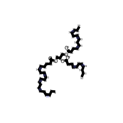 CC/C=C\C/C=C\C/C=C\C/C=C\C/C=C\CCCC(=O)OCC(COC(=O)CC/C=C\C/C=C\C/C=C\CC)OC(=O)CC/C=C\C/C=C\CCC